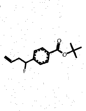 C=CCC(F)c1ccc(C(=O)OC(C)(C)C)cc1